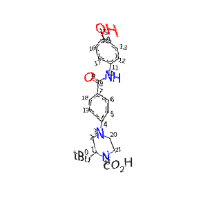 CC(C)(C)C1CN(c2ccc(C(=O)Nc3ccc(O)cc3)cc2)CCN1C(=O)O